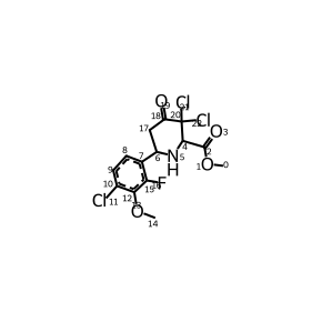 COC(=O)C1NC(c2ccc(Cl)c(OC)c2F)CC(=O)C1(Cl)Cl